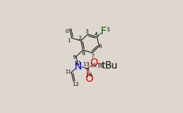 C=Cc1cc(F)ccc1CN(C=C)C(=O)OC(C)(C)C